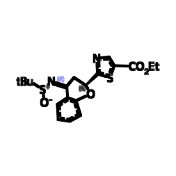 CCOC(=O)c1cnc([C@@H]2C/C(=N/[S+]([O-])C(C)(C)C)c3ccccc3O2)s1